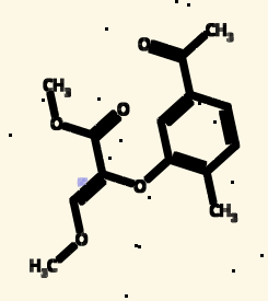 CO/C=C(\Oc1cc(C(C)=O)ccc1C)C(=O)OC